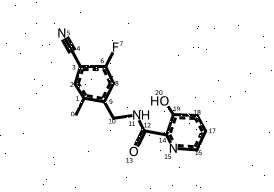 Cc1cc(C#N)c(F)cc1CNC(=O)c1ncccc1O